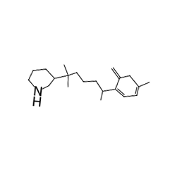 C=C1CC(C)=CC=C1C(C)CCCC(C)(C)C1CCCNC1